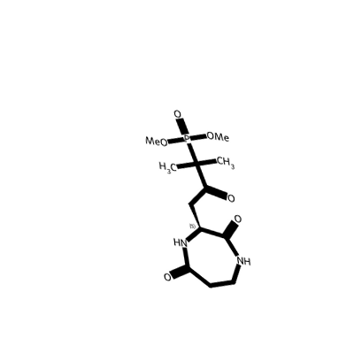 COP(=O)(OC)C(C)(C)C(=O)C[C@@H]1NC(=O)CCNC1=O